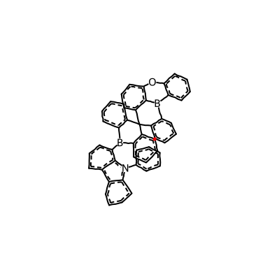 c1ccc(-n2c3ccccc3c3cccc(B4c5ccccc5C5(c6ccccc6B6c7ccccc7Oc7cccc5c76)c5ccccc54)c32)cc1